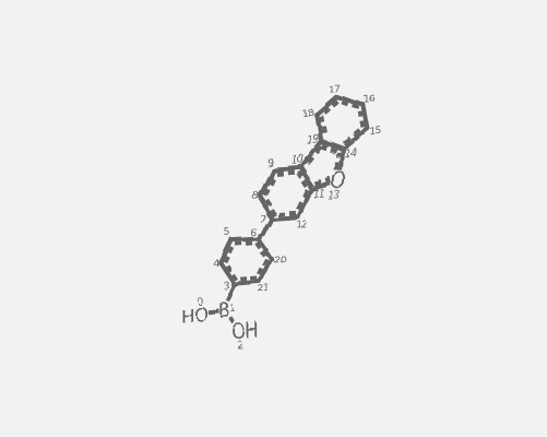 OB(O)c1ccc(-c2ccc3c(c2)oc2ccccc23)cc1